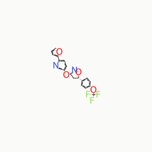 FC(F)(F)Oc1ccc([C@@H]2CC(Oc3ccc(-c4ccco4)nc3)=NO2)cc1